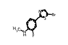 CNc1ccc(-c2ncc(Br)s2)cc1F